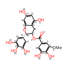 COc1cc(C(=O)OC2Cc3c(O)cc(O)cc3O[C@H]2c2cc(O)c(O)c(O)c2)cc(O)c1O